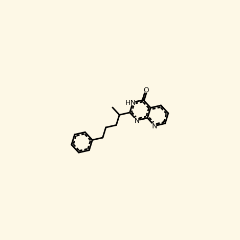 CC(CCCc1ccccc1)c1nc2ncccc2c(=O)[nH]1